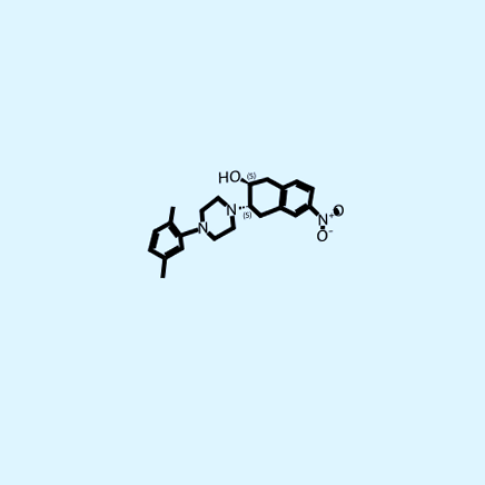 Cc1ccc(C)c(N2CCN([C@H]3Cc4cc([N+](=O)[O-])ccc4C[C@@H]3O)CC2)c1